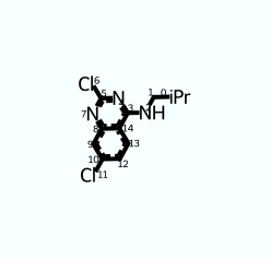 CC(C)CNc1nc(Cl)nc2cc(Cl)ccc12